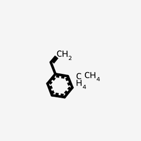 C.C.C=Cc1ccccc1